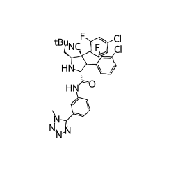 Cn1nnnc1-c1cccc(NC(=O)[C@@H]2N[C@@H](CC(C)(C)C)[C@](C#N)(c3ccc(Cl)cc3F)[C@H]2c2cccc(Cl)c2F)c1